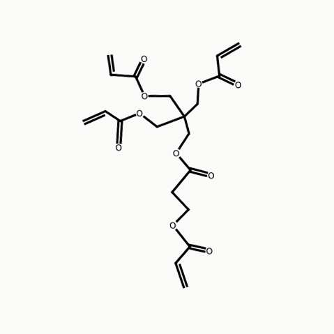 C=CC(=O)OCCC(=O)OCC(COC(=O)C=C)(COC(=O)C=C)COC(=O)C=C